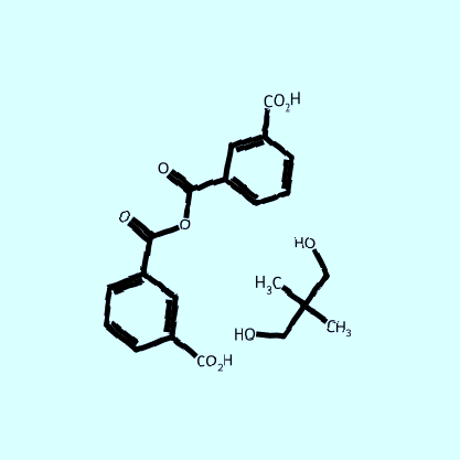 CC(C)(CO)CO.O=C(O)c1cccc(C(=O)OC(=O)c2cccc(C(=O)O)c2)c1